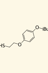 CCC(C)Oc1ccc(OCCS)cc1